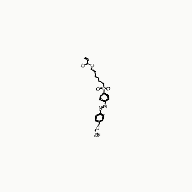 C=CC(=O)OCCCCCCS(=O)(=O)c1ccc(N=Nc2ccc(OC[C@H](C)CC)cc2)cc1